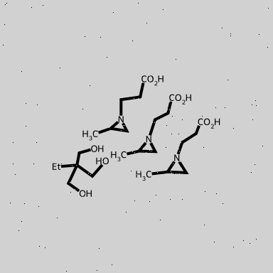 CC1CN1CCC(=O)O.CC1CN1CCC(=O)O.CC1CN1CCC(=O)O.CCC(CO)(CO)CO